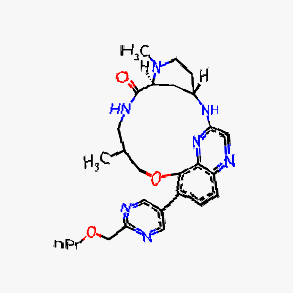 CCCOCc1ncc(-c2ccc3ncc4nc3c2OCC(C)CNC(=O)[C@@H]2C[C@H](CCN2C)N4)cn1